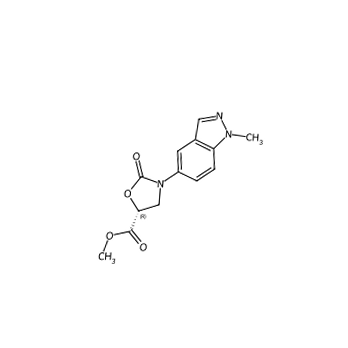 COC(=O)[C@H]1CN(c2ccc3c(cnn3C)c2)C(=O)O1